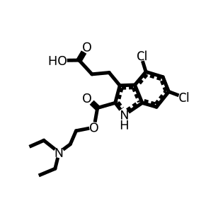 CCN(CC)CCOC(=O)c1[nH]c2cc(Cl)cc(Cl)c2c1CCC(=O)O